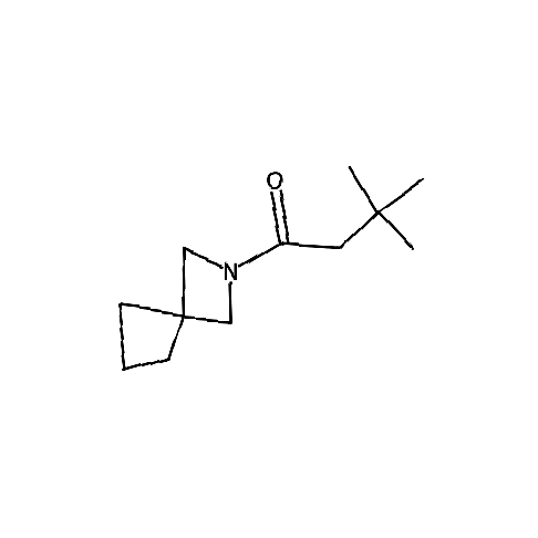 CC(C)(C)CC(=O)N1CC2(CCC2)C1